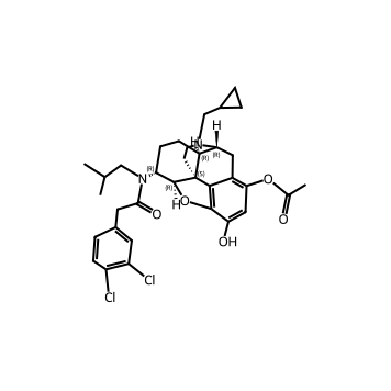 CC(=O)Oc1cc(O)c2c3c1C[C@@H]1[C@@H]4CC[C@@H](N(CC(C)C)C(=O)Cc5ccc(Cl)c(Cl)c5)[C@H](O2)[C@]34CCN1CC1CC1